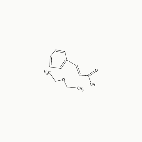 CCOCC.O=C(O)C=Cc1ccccc1